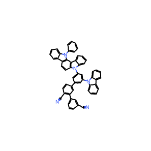 N#Cc1cccc(-c2cc(-c3cc(-n4c5ccccc5c5ccccc54)cc(-n4c5ccccc5c5c4ccc4c6ccccc6n(-c6ccccc6)c45)c3)ccc2C#N)c1